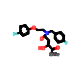 COC(=O)C(O)=CC(=O)N(CCOc1ccc(F)cc1)Cc1ccc(F)cc1